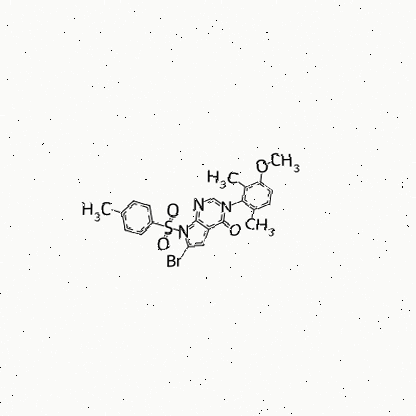 COc1ccc(C)c(-n2cnc3c(cc(Br)n3S(=O)(=O)c3ccc(C)cc3)c2=O)c1C